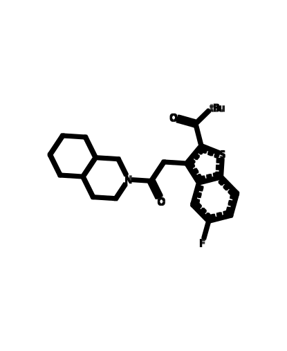 CC(C)(C)C(=O)c1sc2ccc(F)cc2c1CC(=O)N1CCC2CCCCC2C1